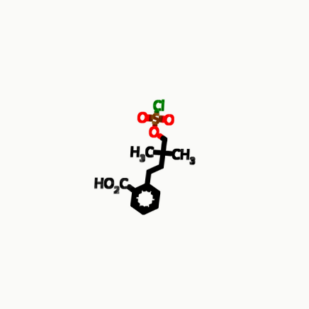 CC(C)(CCc1ccccc1C(=O)O)COS(=O)(=O)Cl